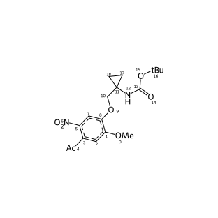 COc1cc(C(C)=O)c([N+](=O)[O-])cc1OCC1(NC(=O)OC(C)(C)C)CC1